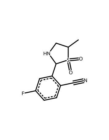 CC1CNC(c2cc(F)ccc2C#N)S1(=O)=O